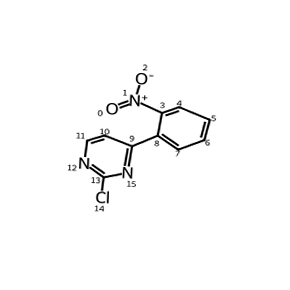 O=[N+]([O-])c1ccccc1-c1ccnc(Cl)n1